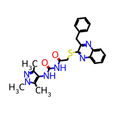 Cc1nn(C)c(C)c1NC(=O)NC(=O)CSc1nc2ccccc2nc1Cc1ccccc1